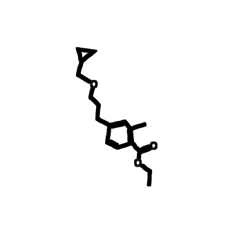 CCOC(=O)c1ccc(CCCOCC2CC2)cc1C